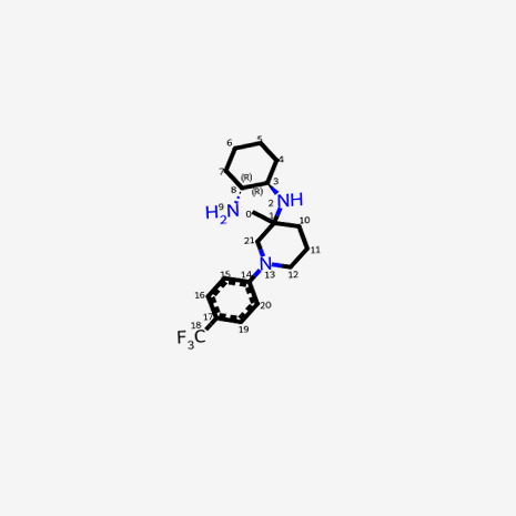 CC1(N[C@@H]2CCCC[C@H]2N)CCCN(c2ccc(C(F)(F)F)cc2)C1